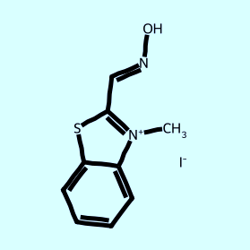 C[n+]1c(C=NO)sc2ccccc21.[I-]